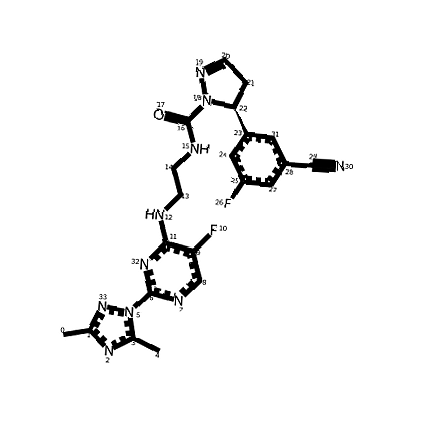 Cc1nc(C)n(-c2ncc(F)c(NCCNC(=O)N3N=CC[C@H]3c3cc(F)cc(C#N)c3)n2)n1